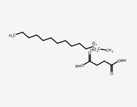 CC(=O)O.CCCCCCCCCCCC.COC(=O)CCC(=O)OC